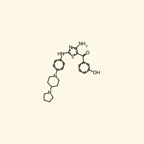 Nc1nc(Nc2ccc(N3CCC(N4CCCC4)CC3)cc2)sc1C(=O)c1cccc(O)c1